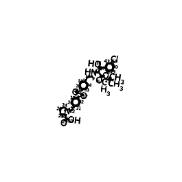 CC(C)(C)OC(=O)C(NCCc1ccc(S(=O)(=O)c2ccc(CN3CCC[C@H]3C(=O)O)cc2)cc1)[C@H](O)c1cccc(Cl)c1